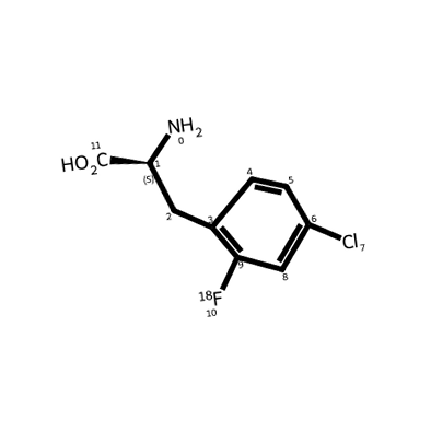 N[C@@H](Cc1ccc(Cl)cc1[18F])C(=O)O